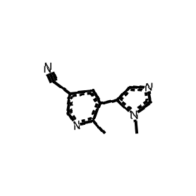 Cc1ncc(C#N)cc1-c1cncn1C